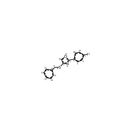 Ic1ccc(-c2nc(SCc3ccccc3)co2)cc1